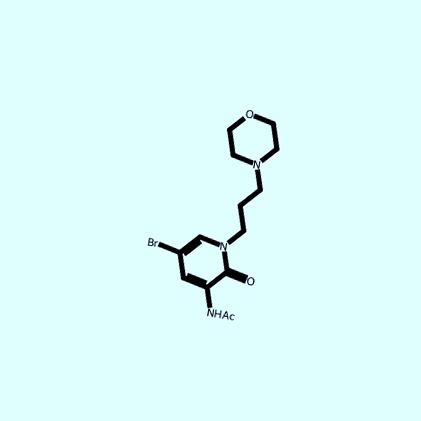 CC(=O)Nc1cc(Br)cn(CCCN2CCOCC2)c1=O